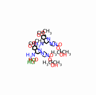 COc1cc2nc(N3CCN(C(=O)OCC(C)(C)O)CC3)cc(N)c2cc1OC.COc1cc2nc(N3CCN(C(=O)OCC(C)(C)O)CC3)cc(N)c2cc1OC.Cl.Cl.O